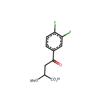 COC(CC(=O)c1ccc(F)c(F)c1)C(=O)O